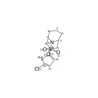 O=C1CC2CCCC(C1)N2S(=O)(=O)c1ccc(Cl)s1